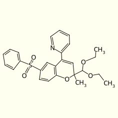 CCOC(OCC)C1(C)C=C(c2ccccn2)c2cc(S(=O)(=O)c3ccccc3)ccc2O1